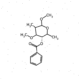 COC1OC(C)[C@H](OC(=O)c2ccccc2)C(OC)C1C